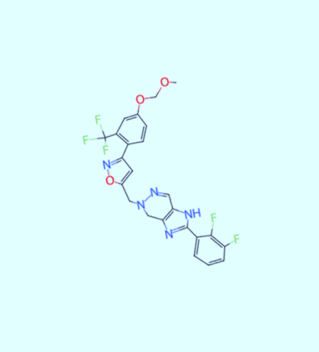 COCOc1ccc(-c2cc(CN3Cc4nc(-c5cccc(F)c5F)[nH]c4C=N3)on2)c(C(F)(F)F)c1